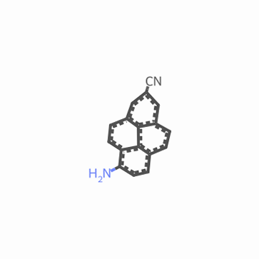 N#Cc1cc2ccc3ccc(N)c4ccc(c1)c2c34